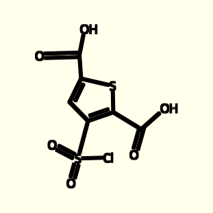 O=C(O)c1cc(S(=O)(=O)Cl)c(C(=O)O)s1